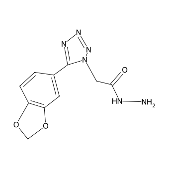 NNC(=O)Cn1nnnc1-c1ccc2c(c1)OCO2